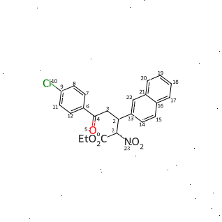 CCOC(=O)C(C(CC(=O)c1ccc(Cl)cc1)c1ccc2ccccc2c1)[N+](=O)[O-]